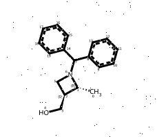 C[C@@H]1[C@@H](CO)CN1C(c1ccccc1)c1ccccc1